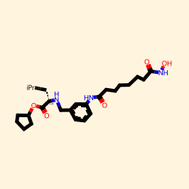 CC(C)C[C@H](NCc1cccc(NC(=O)CCCCCCC(=O)NO)c1)C(=O)OC1CCCC1